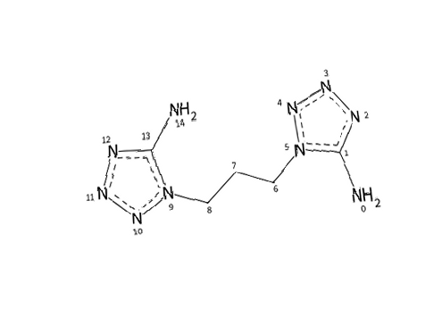 Nc1nnnn1CCCn1nnnc1N